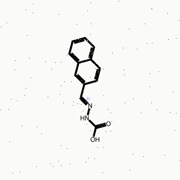 O=C(O)N/N=C/c1ccc2ccccc2c1